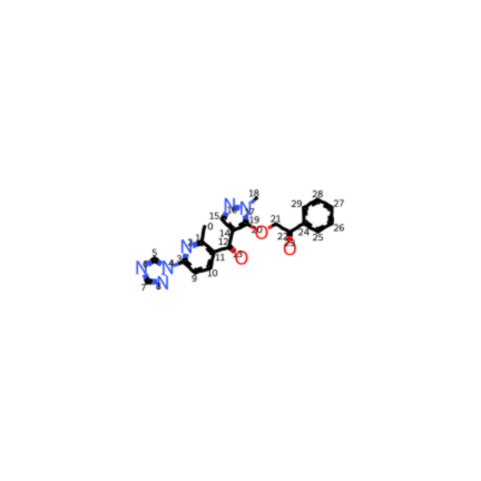 Cc1nc(-n2cncn2)ccc1C(=O)c1cnn(C)c1OCC(=O)c1ccccc1